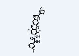 Cn1cc(-c2cnc3ccc(Oc4c(F)c(F)cc(NC(=O)Nc5cccc(F)c5)c4F)cc3n2)cn1